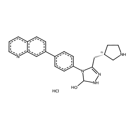 Cl.OC1NN=C(C[C@@H]2CCNC2)N1c1ccc(-c2ccc3cccnc3c2)cc1